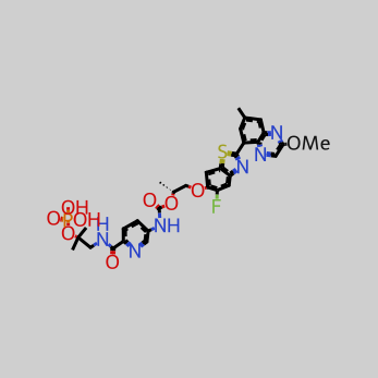 COc1cnc2c(-c3nc4cc(F)c(OC[C@@H](C)OC(=O)Nc5ccc(C(=O)NCC(C)(C)OP(=O)(O)O)nc5)cc4s3)cc(C)cc2n1